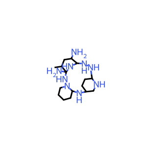 CC1CC(N)C2NNC3CCC(CN3)NC3CCCCN3NC1(N)N2